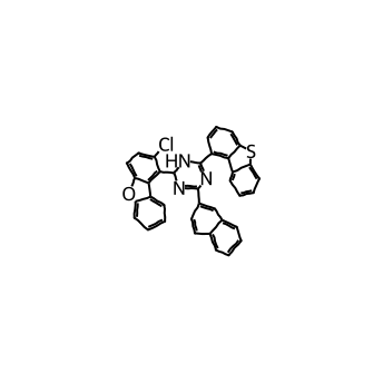 Clc1ccc2oc3ccccc3c2c1C1N=C(c2ccc3ccccc3c2)N=C(c2cccc3sc4ccccc4c23)N1